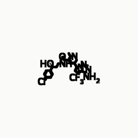 Cc1ncc(-c2cc(C(F)(F)F)c3c(N)ncnn23)cc1C(=O)NCC[C@@H](O)c1ccc(Cl)cc1